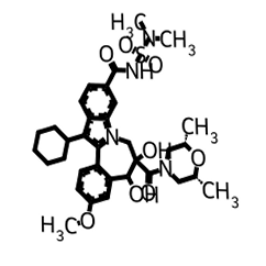 COc1ccc2c(c1)C(O)C(O)(C(=O)N1C[C@@H](C)O[C@@H](C)C1)Cn1c-2c(C2CCCCC2)c2ccc(C(=O)NS(=O)(=O)N(C)C)cc21